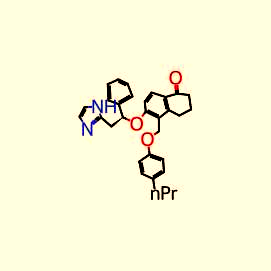 CCCc1ccc(OCc2c(O[C@@H](Cc3ncc[nH]3)c3ccccc3)ccc3c2CCCC3=O)cc1